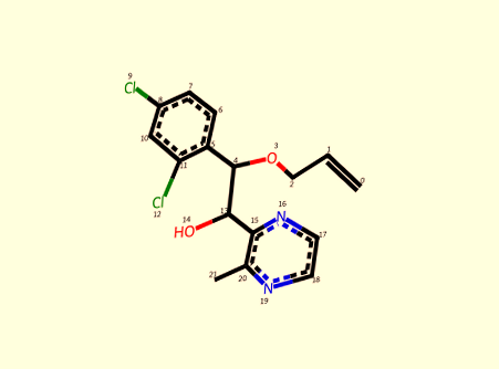 C=CCOC(c1ccc(Cl)cc1Cl)C(O)c1nccnc1C